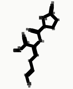 CCC=CCC=C(OC(=O)C1CCC(=O)N1)C(=O)C=O